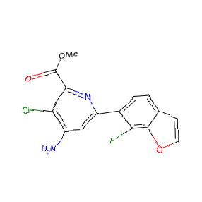 COC(=O)c1nc(-c2ccc3ccoc3c2F)cc(N)c1Cl